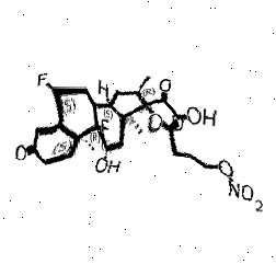 C[C@@H]1C[C@H]2C3C[C@H](F)C4=CC(=O)C=C[C@]4(C)[C@@]3(F)[C@@H](O)C[C@]2(C)[C@@]1(OC(=O)CCCO[N+](=O)[O-])C(=O)CO